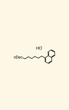 CCCCCCCCCCCCCCCCc1cccc2ccccc12.Cl